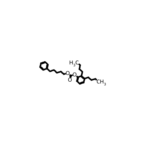 CCCCc1cccc(OC(=O)OCCCCCc2ccccc2)c1CCCC